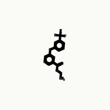 CCOC(=O)c1cncc(Oc2cccc(C(F)(F)F)c2)n1